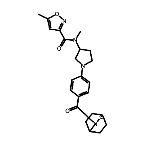 Cc1cc(C(=O)N(C)C2CCN(c3ccc(C(=O)N4CC5CCC(CC5)C4)cc3)C2)no1